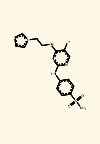 NS(=O)(=O)c1ccc(Nc2ncc(Br)c(NCCn3ccnc3)n2)cc1